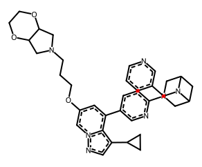 c1cncc(CN2C3CC2CN(c2ccc(-c4cc(OCCCN5CC6OCCOC6C5)cn5ncc(C6CC6)c45)cn2)C3)c1